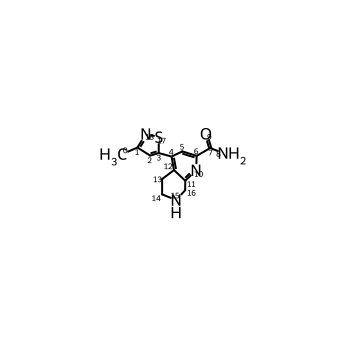 Cc1cc(-c2cc(C(N)=O)nc3c2CCNC3)sn1